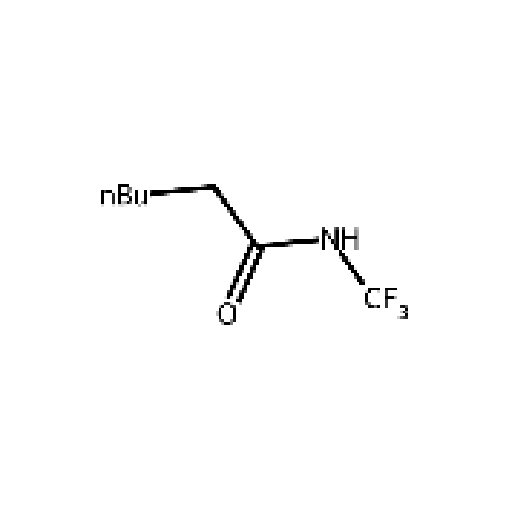 CCCCCC(=O)NC(F)(F)F